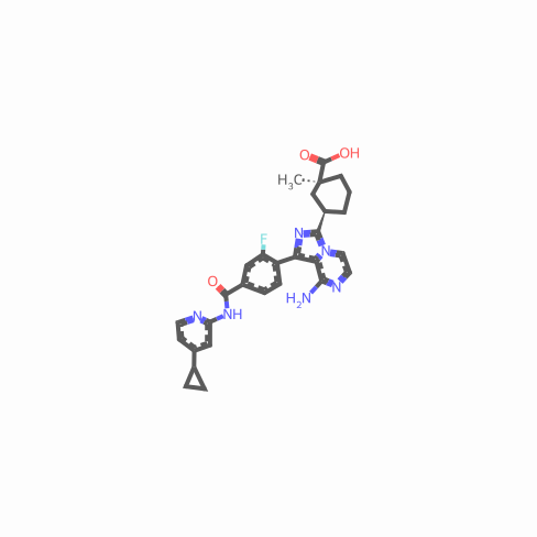 C[C@]1(C(=O)O)CCC[C@@H](c2nc(-c3ccc(C(=O)Nc4cc(C5CC5)ccn4)cc3F)c3c(N)nccn23)C1